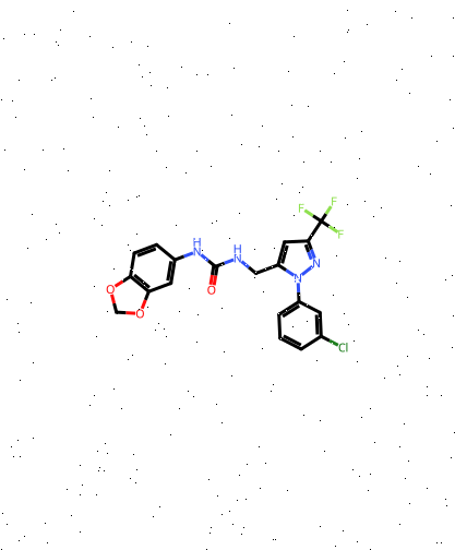 O=C(NCc1cc(C(F)(F)F)nn1-c1cccc(Cl)c1)Nc1ccc2c(c1)OCO2